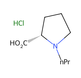 CCCN1CCC[C@H]1C(=O)O.Cl